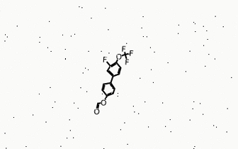 O=COc1ccc(-c2ccc(OC(F)(F)F)c(F)c2)cc1